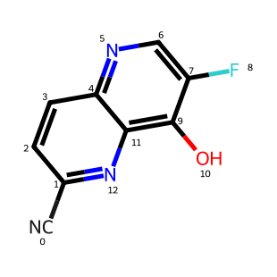 N#Cc1ccc2ncc(F)c(O)c2n1